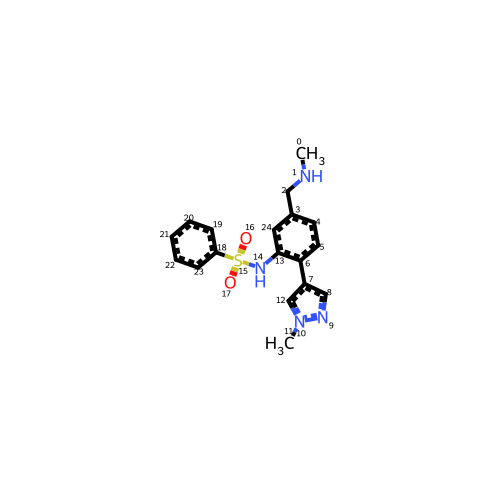 CNCc1ccc(-c2cnn(C)c2)c(NS(=O)(=O)c2ccccc2)c1